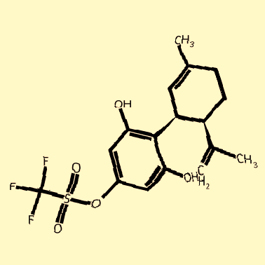 C=C(C)[C@@H]1CCC(C)=C[C@@H]1c1c(O)cc(OS(=O)(=O)C(F)(F)F)cc1O